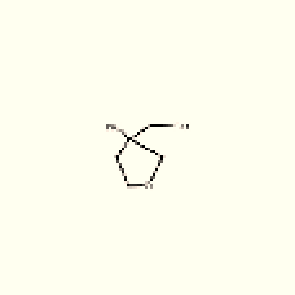 N#CC1(CO)CCOC1